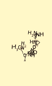 C[C@H](N)CCCc1cc(-c2cc3cn(-c4ccc([C@@H]5CCC[C@@H](CCSC(=N)N)N5)cc4)c(=O)nc3[nH]2)cc(C2CC2)c1